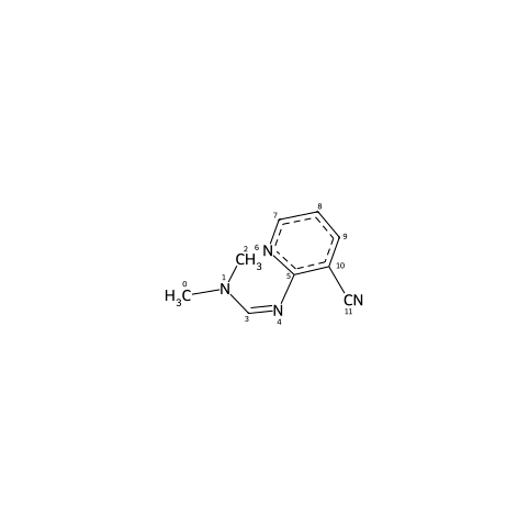 CN(C)/C=N\c1ncccc1C#N